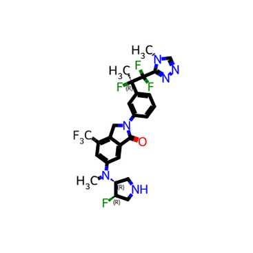 CN(c1cc2c(c(C(F)(F)F)c1)CN(c1cccc([C@@](C)(F)C(F)(F)c3nncn3C)c1)C2=O)[C@@H]1CNC[C@H]1F